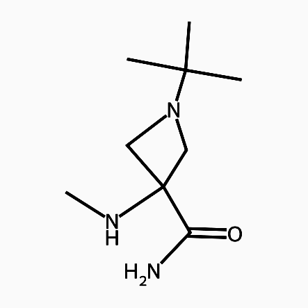 CNC1(C(N)=O)CN(C(C)(C)C)C1